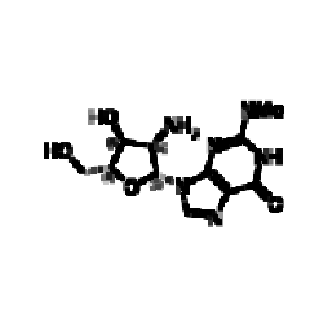 CNc1nc2c(ncn2[C@@H]2O[C@H](CO)[C@@H](O)[C@H]2N)c(=O)[nH]1